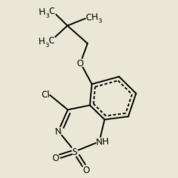 CC(C)(C)COc1cccc2c1C(Cl)=NS(=O)(=O)N2